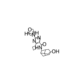 O=C(NC1C2CC3CC1CC(O)(C3)C2)c1cnc(N2C[C@@H]3C[C@H]2CO3)nc1C1CCC1